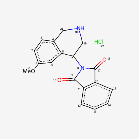 COc1ccc2c(c1)C(N1C(=O)c3ccccc3C1=O)CNC2.Cl